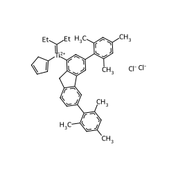 CC[C](CC)=[Ti+2]([C]1=CC=CC1)[c]1cc(-c2c(C)cc(C)cc2C)cc2c1Cc1ccc(-c3c(C)cc(C)cc3C)cc1-2.[Cl-].[Cl-]